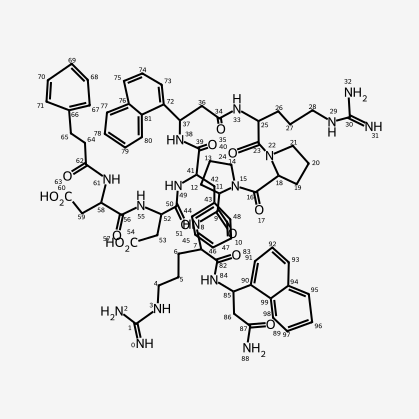 N=C(N)NCCCC(NC(=O)C1CCCN1C(=O)C1CCCN1C(=O)C(CCCNC(=N)N)NC(=O)CC(NC(=O)C(Cc1ccccc1)NC(=O)C(CC(=O)O)NC(=O)C(CC(=O)O)NC(=O)CCc1ccccc1)c1cccc2ccccc12)C(=O)NC(CC(N)=O)c1cccc2ccccc12